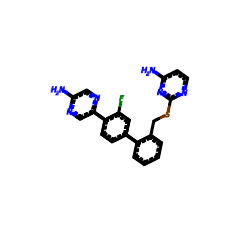 Nc1cnc(-c2ccc(-c3ccccc3CSc3nccc(N)n3)cc2F)cn1